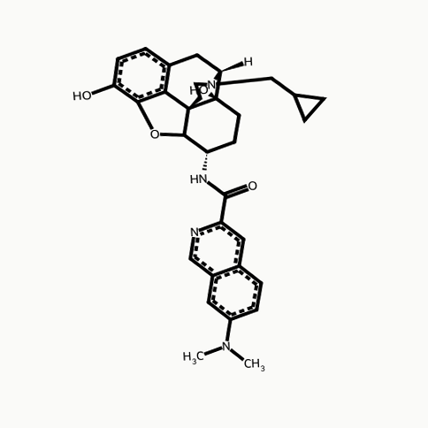 CN(C)c1ccc2cc(C(=O)N[C@H]3CC[C@@]4(O)[C@H]5Cc6ccc(O)c7c6[C@@]4(CCN5CC4CC4)C3O7)ncc2c1